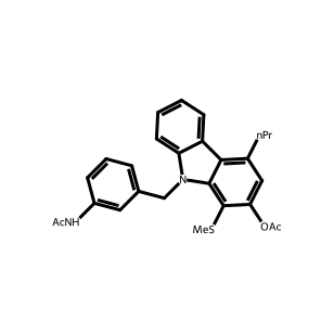 CCCc1cc(OC(C)=O)c(SC)c2c1c1ccccc1n2Cc1cccc(NC(C)=O)c1